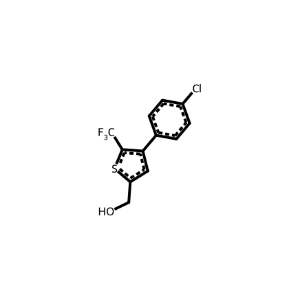 OCc1cc(-c2ccc(Cl)cc2)c(C(F)(F)F)s1